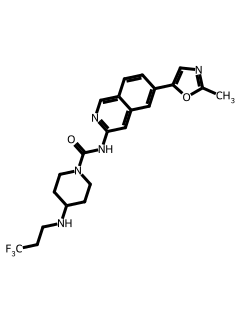 Cc1ncc(-c2ccc3cnc(NC(=O)N4CCC(NCCC(F)(F)F)CC4)cc3c2)o1